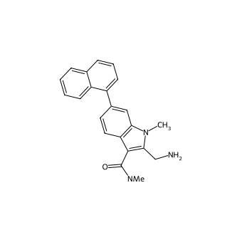 CNC(=O)c1c(CN)n(C)c2cc(-c3cccc4ccccc34)ccc12